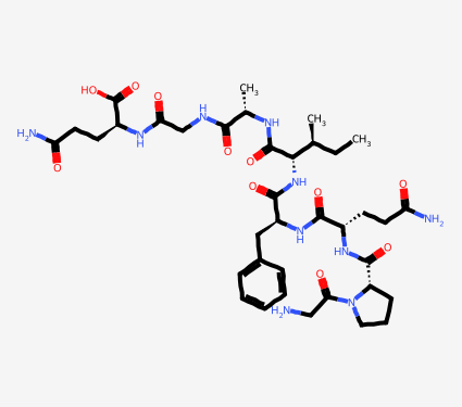 CC[C@H](C)[C@H](NC(=O)[C@H](Cc1ccccc1)NC(=O)[C@H](CCC(N)=O)NC(=O)[C@@H]1CCCN1C(=O)CN)C(=O)N[C@@H](C)C(=O)NCC(=O)N[C@@H](CCC(N)=O)C(=O)O